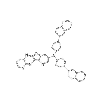 c1ccc2cc(-c3ccc(N(c4ccc(-c5ccc6ccccc6c5)cc4)c4cnc5c(c4)oc4nc6cccnc6nc45)cc3)ccc2c1